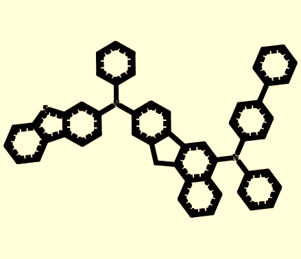 c1ccc(-c2ccc(N(c3ccccc3)c3cc4c(c5ccccc35)Cc3cc(N(c5ccccc5)c5ccc6c(c5)sc5ccccc56)ccc3-4)cc2)cc1